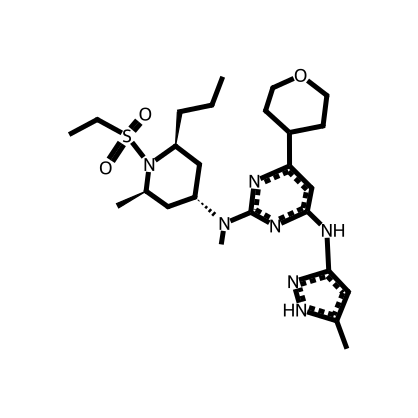 CCC[C@H]1C[C@H](N(C)c2nc(Nc3cc(C)[nH]n3)cc(C3CCOCC3)n2)C[C@@H](C)N1S(=O)(=O)CC